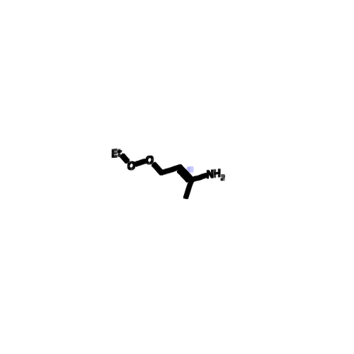 CCOOC/C=C(\C)N